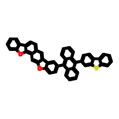 c1ccc2c(c1)oc1c3cc4oc5ccc(-c6c7ccccc7c(-c7ccc8c(c7)sc7ccccc78)c7ccccc67)cc5c4cc3ccc21